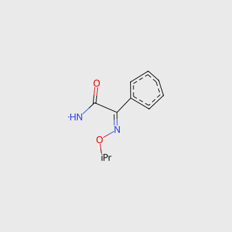 CC(C)ON=C(C([NH])=O)c1ccccc1